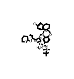 C=C[C@H](OC1CCCCO1)[C@@H]1CC[C@H]1CN1C[C@@]2(CCCc3cc(Cl)ccc32)COc2ccc(S(N)(=O)=N[Si](C)(C)C(C)(C)C)cc21